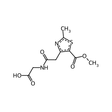 COC(=O)c1sc(C)nc1CC(=O)NCC(=O)O